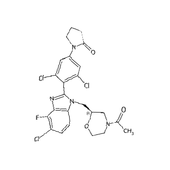 CC(=O)N1CCO[C@@H](Cn2c(-c3c(Cl)cc(N4CCCC4=O)cc3Cl)nc3c(F)c(Cl)ccc32)C1